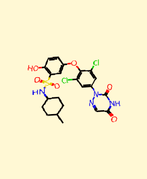 CC1CCC(NS(=O)(=O)c2cc(Oc3c(Cl)cc(-n4ncc(=O)[nH]c4=O)cc3Cl)ccc2O)CC1